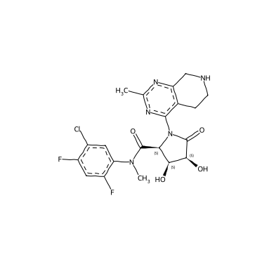 Cc1nc2c(c(N3C(=O)[C@@H](O)[C@@H](O)[C@H]3C(=O)N(C)c3cc(Cl)c(F)cc3F)n1)CCNC2